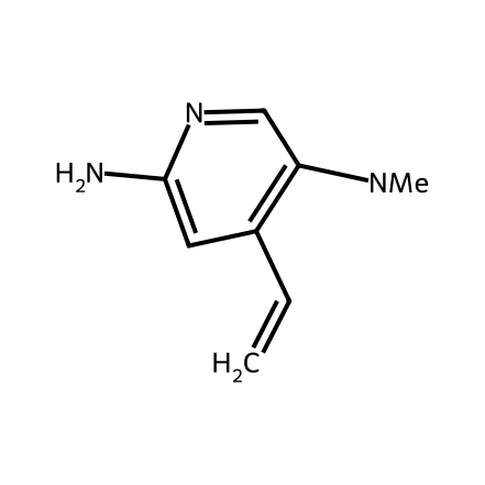 C=Cc1cc(N)ncc1NC